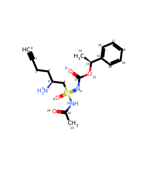 C#CCC[C@H](N)CS(=O)(=NC(=O)O[C@@H](C)c1ccccc1)NC(C)=O